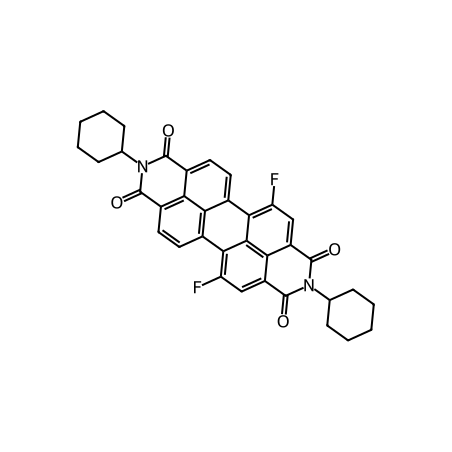 O=C1c2ccc3c4c(F)cc5c6c(cc(F)c(c7ccc(c2c37)C(=O)N1C1CCCCC1)c64)C(=O)N(C1CCCCC1)C5=O